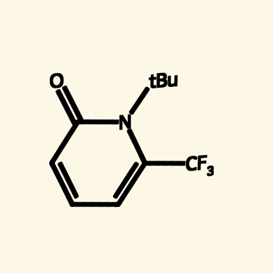 CC(C)(C)n1c(C(F)(F)F)cccc1=O